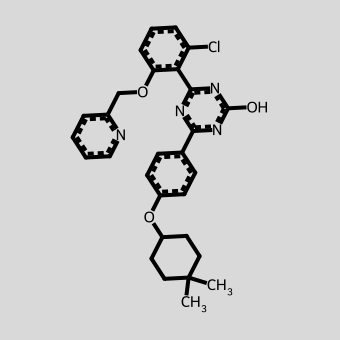 CC1(C)CCC(Oc2ccc(-c3nc(O)nc(-c4c(Cl)cccc4OCc4ccccn4)n3)cc2)CC1